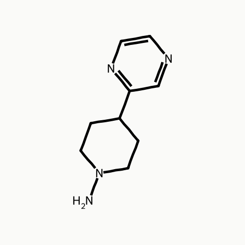 NN1CCC(c2cnccn2)CC1